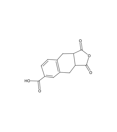 O=C(O)c1ccc2c(c1)CC1C(=O)OC(=O)C1C2